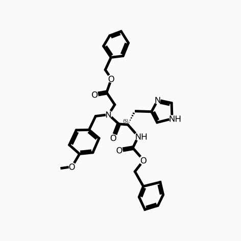 COc1ccc(CN(CC(=O)OCc2ccccc2)C(=O)[C@H](Cc2c[nH]cn2)NC(=O)OCc2ccccc2)cc1